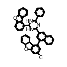 Clc1cc2c(c(-c3cc(C4N=C(c5ccccc5)NC(c5cccc6oc7ccccc7c56)N4)cc4ccccc34)c1)C1C=CC=CC1O2